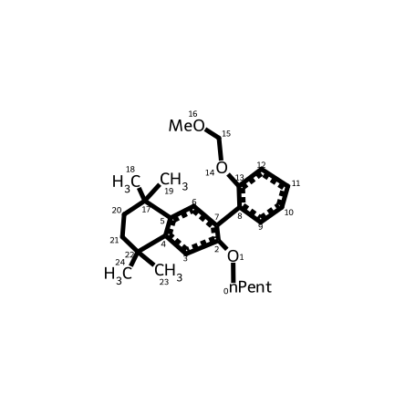 CCCCCOc1cc2c(cc1-c1ccccc1OCOC)C(C)(C)CCC2(C)C